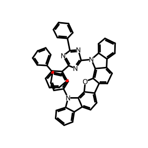 c1ccc(-c2ccc(-n3c4ccccc4c4ccc5c6ccc7c8ccccc8n(-c8nc(-c9ccccc9)nc(-c9ccccc9)n8)c7c6oc5c43)cc2)cc1